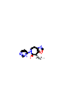 CNC1C(=O)N(c2ccncn2)CCc2ncoc21